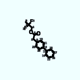 CC(F)(F)COC(=O)Cc1ccc(-c2ccccc2)cc1